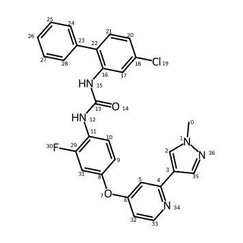 Cn1cc(-c2cc(Oc3ccc(NC(=O)Nc4cc(Cl)ccc4-c4ccccc4)c(F)c3)ccn2)cn1